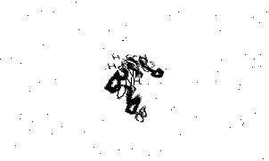 CC1(C)S[C@H]2N(C(=O)[C@@]2(N)NC(=O)C(NC(=O)OCc2ccc([N+](=O)[O-])cc2)c2ccccc2)[C@H]1C(=O)OCc1ccccc1